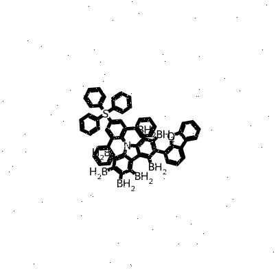 Bc1c(B)c(B)c2c(c1B)c1c(B)c(-c3cccc4c3oc3ccccc34)c(B)c(B)c1n2-c1c(-c2ccccc2)cc(S(c2ccccc2)(c2ccccc2)c2ccccc2)cc1-c1ccccc1